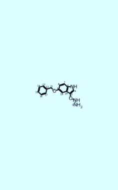 NNOc1c[nH]c2ccc(OCc3ccccc3)cc12